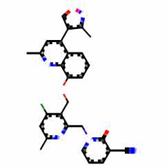 Cc1cc(Cl)c(COc2cccc3c(-c4conc4C)cc(C)nc23)c(Cn2cccc(C#N)c2=O)n1